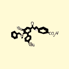 CN(Cc1ccccc1)c1c(-c2ccc(C(C)(C)C)cc2)cc(C(=O)/C=C/c2ccc(C(=O)O)cc2)cc1C(C)(C)C